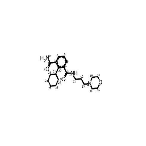 NC(=O)c1cccc(C(=O)NCCCN2CCOCC2)c1C1CCCCC1